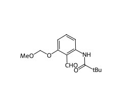 COCOc1cccc(NC(=O)C(C)(C)C)c1C=O